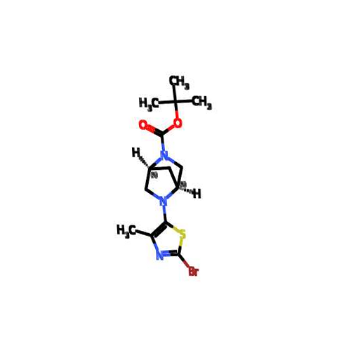 Cc1nc(Br)sc1N1C[C@@H]2C[C@H]1CN2C(=O)OC(C)(C)C